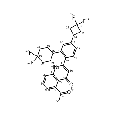 CC(=O)c1nccc2[nH]c(-c3ccc(C4CC(F)(F)C4)cc3C3CCC(F)(F)CC3)cc(=O)c12